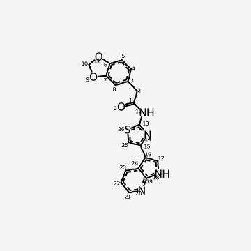 O=C(Cc1ccc2c(c1)OCO2)Nc1nc(-c2c[nH]c3ncccc23)cs1